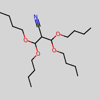 CCCCOC(OCCCC)C(C#N)C(OCCCC)OCCCC